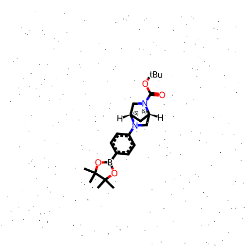 CC(C)(C)OC(=O)N1C[C@@H]2C[C@H]1CN2c1ccc(B2OC(C)(C)C(C)(C)O2)cc1